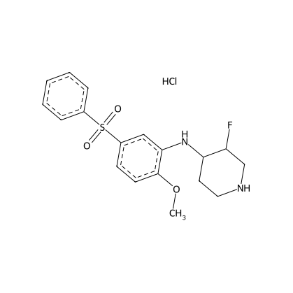 COc1ccc(S(=O)(=O)c2ccccc2)cc1NC1CCNCC1F.Cl